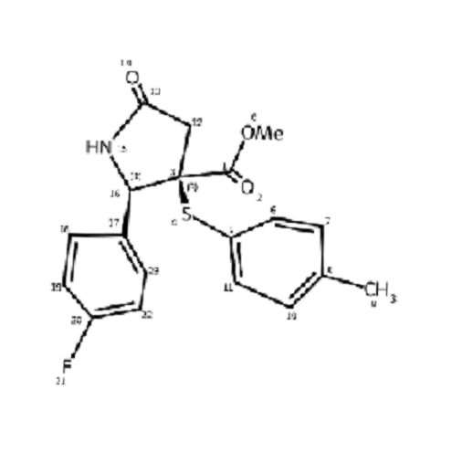 COC(=O)[C@@]1(Sc2ccc(C)cc2)CC(=O)N[C@@H]1c1ccc(F)cc1